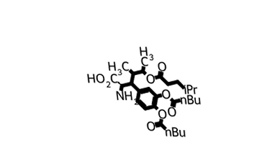 CCCCC(=O)Oc1ccc(C(C(C)C(C)OC(=O)CCC(C)C)[C@H](N)C(=O)O)cc1OC(=O)CCCC